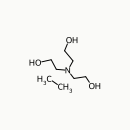 CC.OCCN(CCO)CCO